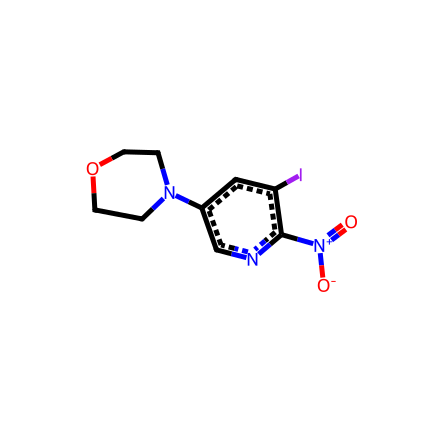 O=[N+]([O-])c1ncc(N2CCOCC2)cc1I